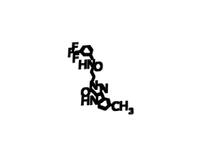 Cc1ccc2[nH]c3c(=O)n(CCCC(=O)NCc4cccc(C(F)(F)F)c4)cnc3c2c1